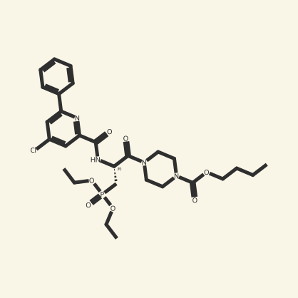 CCCCOC(=O)N1CCN(C(=O)[C@H](CP(=O)(OCC)OCC)NC(=O)c2cc(Cl)cc(-c3ccccc3)n2)CC1